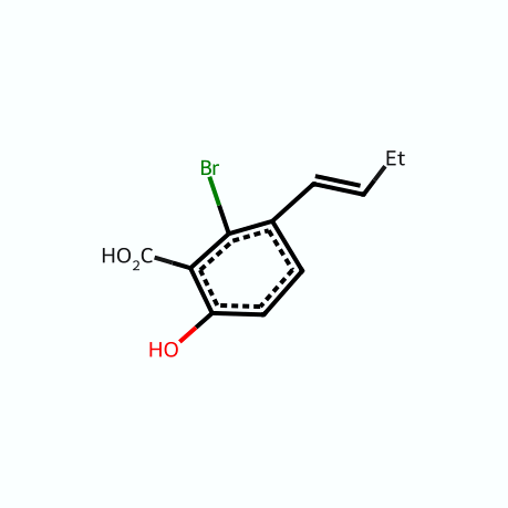 CCC=Cc1ccc(O)c(C(=O)O)c1Br